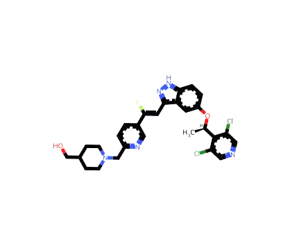 C[C@@H](Oc1ccc2[nH]nc(/C=C(\F)c3ccc(CN4CCC(CO)CC4)nc3)c2c1)c1c(Cl)cncc1Cl